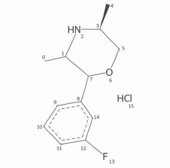 CC1N[C@@H](C)COC1c1cccc(F)c1.Cl